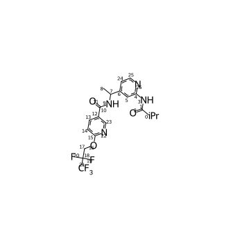 CC(C)C(=O)Nc1cc(C(C)NC(=O)c2ccc(OCC(F)(F)C(F)(F)F)nc2)ccn1